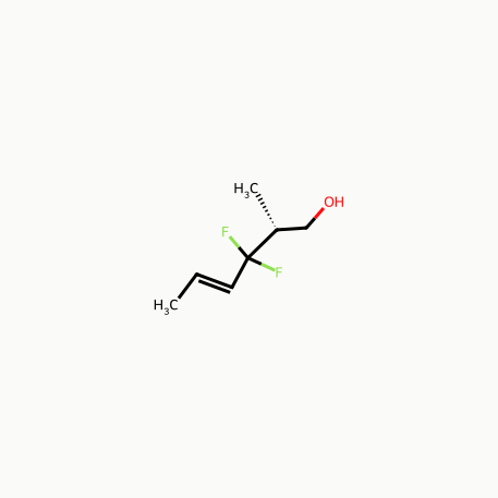 C/C=C/C(F)(F)[C@H](C)CO